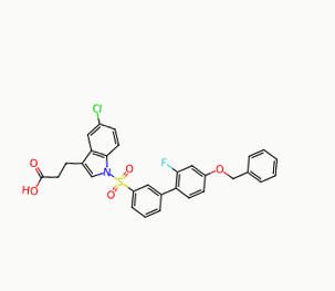 O=C(O)CCc1cn(S(=O)(=O)c2cccc(-c3ccc(OCc4ccccc4)cc3F)c2)c2ccc(Cl)cc12